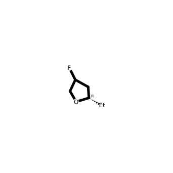 CC[C@H]1CC(F)CO1